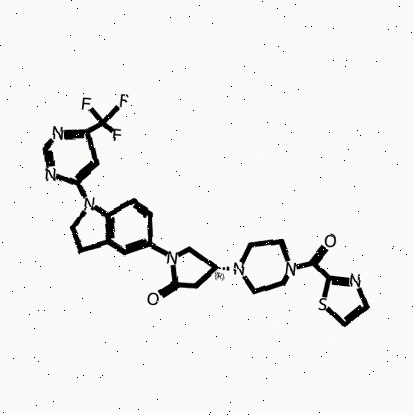 O=C(c1nccs1)N1CCN([C@@H]2CC(=O)N(c3ccc4c(c3)CCN4c3cc(C(F)(F)F)ncn3)C2)CC1